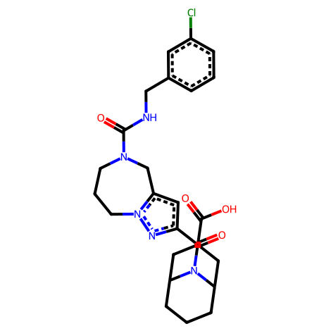 O=C(O)C1CC2CCCC(C1)N2C(=O)c1cc2n(n1)CCCN(C(=O)NCc1cccc(Cl)c1)C2